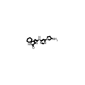 NC1CCN(c2cc(Nc3cc4c(s3)C(=O)NC43CCCCC3)ncn2)C1